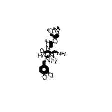 COCC(CN(C)C)OCCNc1c(C=N)nc(NCc2ccc(Cl)c(Cl)c2)[nH]c1=O